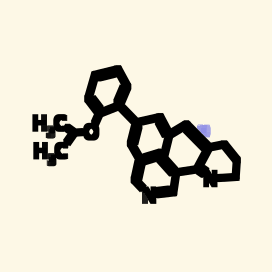 CC(C)Oc1ccccc1-c1cccc(/C=C2/CCCN=C2c2cccnc2)c1